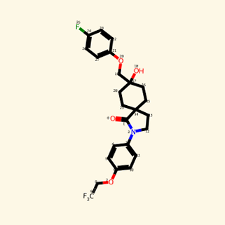 O=C1N(c2ccc(OCC(F)(F)F)cc2)CCC12CCC(O)(COc1ccc(F)cc1)CC2